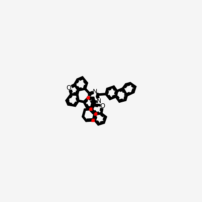 C1=CCCC(c2nc(-c3ccc4c(ccc5ccccc54)c3)nc(-c3cccc4oc5cccc(-c6ccc7oc8ccccc8c7c6)c5c34)n2)=C1